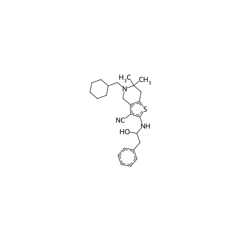 CC1(C)Cc2sc(NC(O)Cc3ccccc3)c(C#N)c2CN1CC1CCCCC1